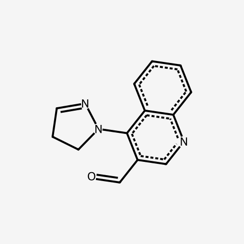 O=Cc1cnc2ccccc2c1N1CCC=N1